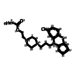 CCCCCCC(=O)OCCN1CCN(CCCN2c3ccccc3Sc3ccc(Cl)cc32)CC1